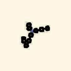 c1ccc(-c2ccc(-c3ccc(N(c4ccc(-c5ccc6c(c5)C5(c7ccccc7-6)C6CC7CC(C6)CC5C7)cc4)c4ccc5ccccc5c4)cc3)cc2)cc1